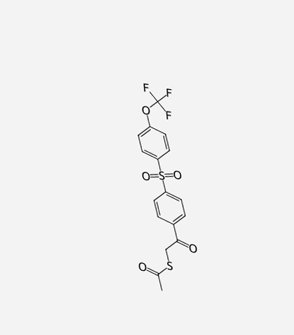 CC(=O)SCC(=O)c1ccc(S(=O)(=O)c2ccc(OC(F)(F)F)cc2)cc1